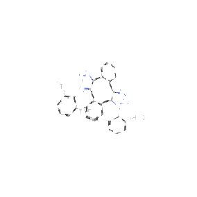 CC(C)c1cccc(C(C)C)c1-n1nnc2/c1=c1/cccc/c1=c1/c(nnn1-c1c(C(C)C)cccc1C(C)C)=c1/cccc/c1=2